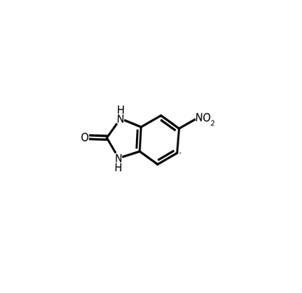 O=c1[nH]c2c[c]c([N+](=O)[O-])cc2[nH]1